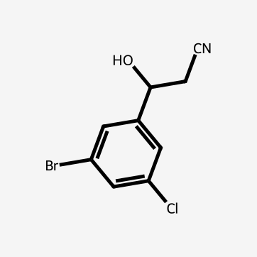 N#CCC(O)c1cc(Cl)cc(Br)c1